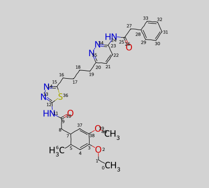 CCOC1=CC(C)C(CC(=O)Nc2nnc(CCCCc3ccc(NC(=O)Cc4ccccc4)nn3)s2)C=C1OC